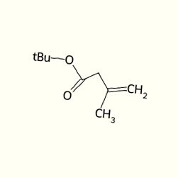 C=C(C)CC(=O)OC(C)(C)C